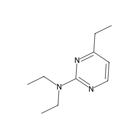 CCc1ccnc(N(CC)CC)n1